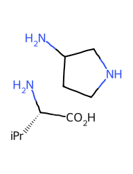 CC(C)[C@H](N)C(=O)O.NC1CCNC1